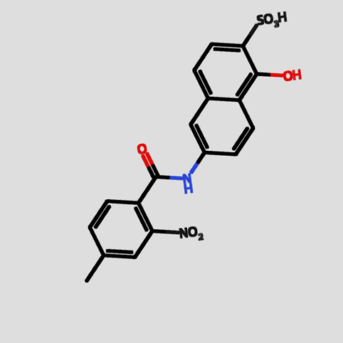 Cc1ccc(C(=O)Nc2ccc3c(O)c(S(=O)(=O)O)ccc3c2)c([N+](=O)[O-])c1